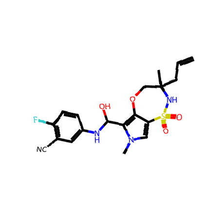 C=CCC1(C)COc2c(cn(C)c2C(O)Nc2ccc(F)c(C#N)c2)S(=O)(=O)N1